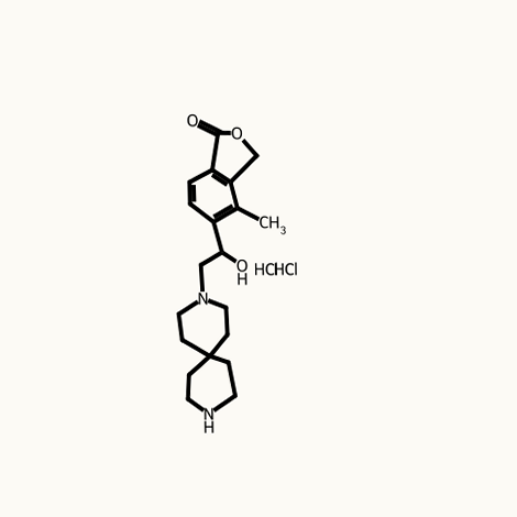 Cc1c(C(O)CN2CCC3(CCNCC3)CC2)ccc2c1COC2=O.Cl.Cl